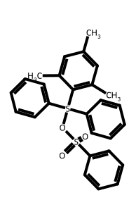 Cc1cc(C)c(S(OS(=O)(=O)c2ccccc2)(c2ccccc2)c2ccccc2)c(C)c1